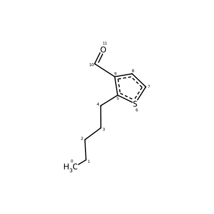 CCCCCc1sccc1C=O